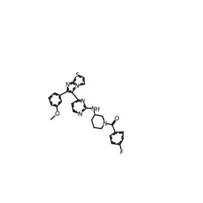 COc1cccc(-c2nc3sccn3c2-c2ccnc(N[C@@H]3CCCN(C(=O)c4ccc(F)cc4)C3)n2)c1